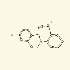 C[C@@H](O)c1ccccc1N(C)Cc1ccc(Cl)nc1Cl